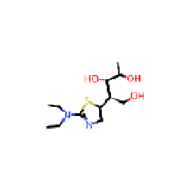 CCN(CC)C1=NCC([C@H](CO)[C@@H](O)[C@@H](C)O)S1